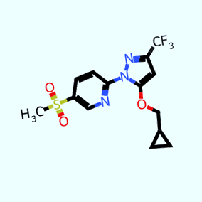 CS(=O)(=O)c1ccc(-n2nc(C(F)(F)F)cc2OCC2CC2)nc1